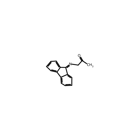 CC(=O)CN=C1c2ccccc2-c2ccccc21